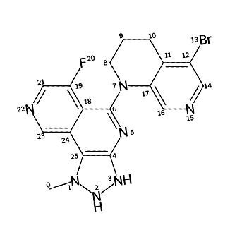 CN1NNc2nc(N3CCCc4c(Br)cncc43)c3c(F)cncc3c21